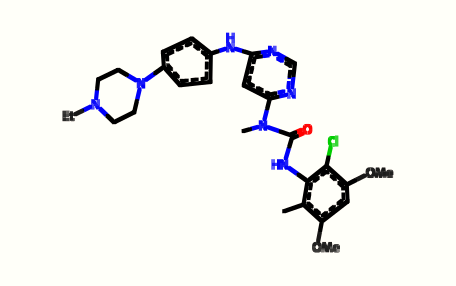 CCN1CCN(c2ccc(Nc3cc(N(C)C(=O)Nc4c(C)c(OC)cc(OC)c4Cl)ncn3)cc2)CC1